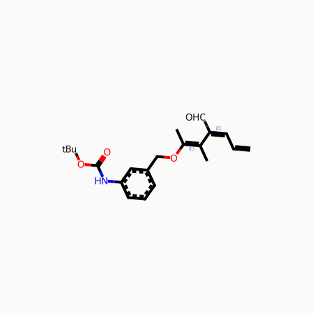 C=C/C=C(C=O)\C(C)=C(/C)OCc1cccc(NC(=O)OC(C)(C)C)c1